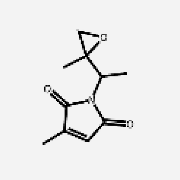 CC1=CC(=O)N(C(C)C2(C)CO2)C1=O